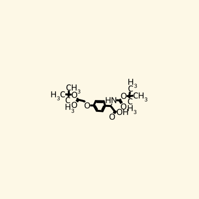 CC(C)(C)OC(=O)COc1ccc([C@H](NC(=O)OC(C)(C)C)C(=O)O)cc1